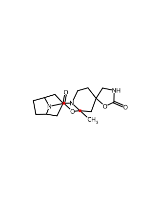 CCOC(=O)N1C2CCC1CC(N1CCC3(CC1)CNC(=O)O3)C2